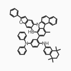 Cc1cc(-c2cc(N(c3ccccc3)c3ccccc3)ccc2Nc2ccc3c(c2)C(C)(C)CCC3(C)C)c2c3c1c1c4ccccc4ccc1n3-c1cc3cc(-c4ccccc4)oc3cc1B2